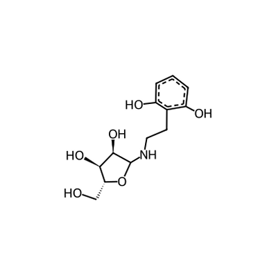 OC[C@H]1OC(NCCc2c(O)cccc2O)[C@H](O)[C@@H]1O